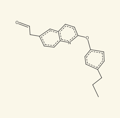 CCCc1ccc(Oc2ccc3cc(CC=O)ccc3n2)cc1